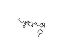 O=C(NCC1CC1)c1cnc(OCc2conc2-c2ccc(F)cc2)cn1